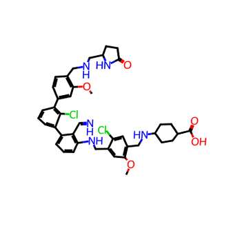 COc1cc(-c2cccc(-c3cccc(NCc4cc(OC)c(CNC5CCC(C(=O)O)CC5)cc4Cl)c3C=N)c2Cl)ccc1CNCC1CCC(=O)N1